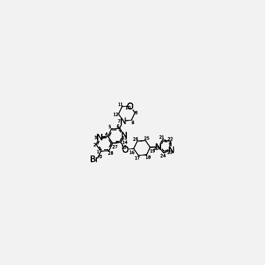 Brc1cnc2cc(N3CCOCC3)nc(OC3CCC(n4ccnc4)CC3)c2c1